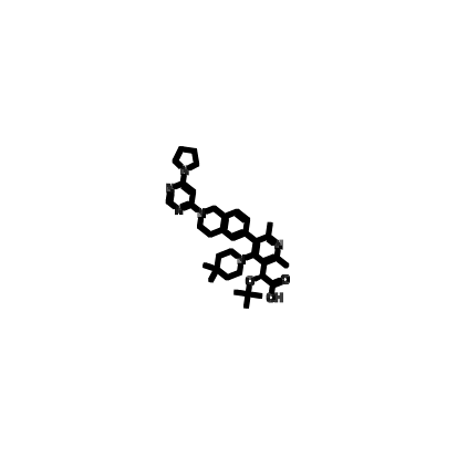 Cc1nc(C)c([C@H](OC(C)(C)C)C(=O)O)c(N2CCC(C)(C)CC2)c1-c1ccc2c(c1)CCN(c1cc(N3CCCC3)ncn1)C2